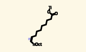 CCCCCCCC/C=C\CCCCCCCC(=O)[O][Ti]